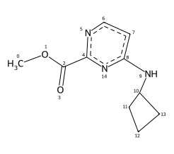 COC(=O)c1nccc(NC2CCC2)n1